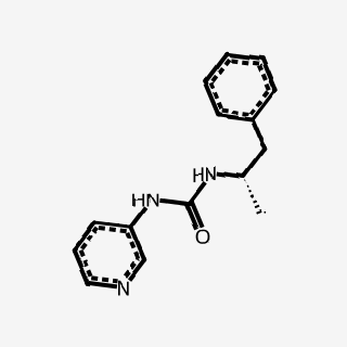 [CH2][C@@H](Cc1ccccc1)NC(=O)Nc1cccnc1